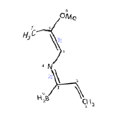 B/C(C=C)=N/C=C(\C)OC